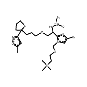 Cc1cc(C2(CCCOCC(N[S@+]([O-])C(C)(C)C)c3nc(Br)cn3COCC[Si](C)(C)C)OCCO2)no1